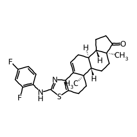 C[C@]12CCc3sc(Nc4ccc(F)cc4F)nc3C1=CC[C@@H]1[C@@H]2CC[C@]2(C)C(=O)CC[C@@H]12